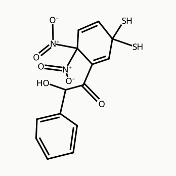 O=C(C1=CC(S)(S)C=CC1([N+](=O)[O-])[N+](=O)[O-])C(O)c1ccccc1